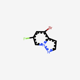 Fc1cc(Br)c2ccnn2c1